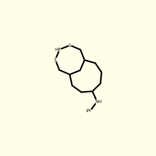 CC(C)NC1CCCC2CSPSCC(CC1)C2